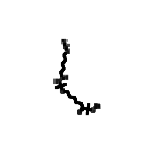 CCOC(C)(C)C(=O)CCCCCOC(C)(C)NNCCCCCN=[N+]=[N-]